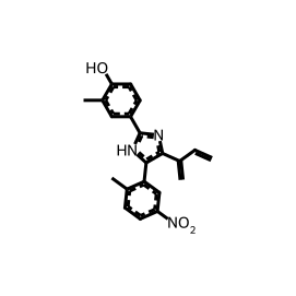 C=CC(=C)c1nc(-c2ccc(O)c(C)c2)[nH]c1-c1cc([N+](=O)[O-])ccc1C